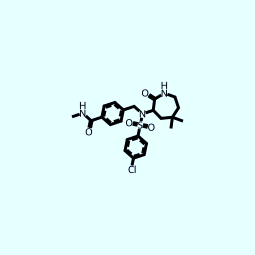 CNC(=O)c1ccc(CN(C2CC(C)(C)CCNC2=O)S(=O)(=O)c2ccc(Cl)cc2)cc1